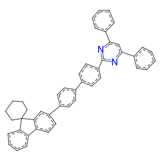 c1ccc(-c2cc(-c3ccccc3)nc(-c3ccc(-c4ccc(-c5ccc6c(c5)C5(CCCCC5)c5ccccc5-6)cc4)cc3)n2)cc1